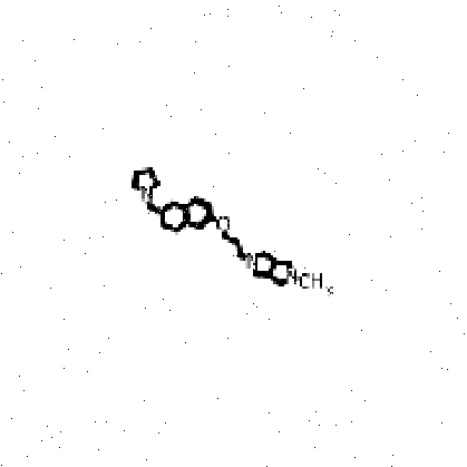 CN1CC2CN(CCCOc3ccc4c(c3)CCC(CN3CCCC3)C4)CC2C1